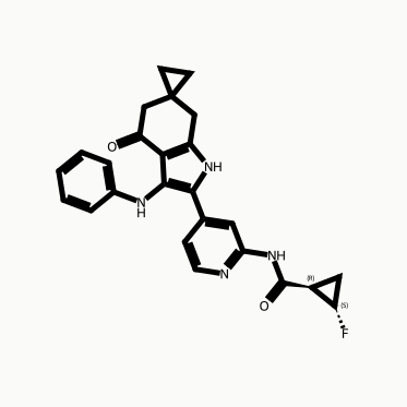 O=C1CC2(CC2)Cc2[nH]c(-c3ccnc(NC(=O)[C@H]4C[C@@H]4F)c3)c(Nc3ccccc3)c21